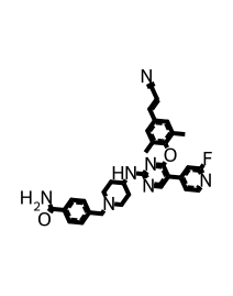 Cc1cc(C=CC#N)cc(C)c1Oc1nc(NC2CCN(Cc3ccc(C(N)=O)cc3)CC2)ncc1-c1ccnc(F)c1